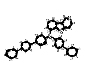 c1ccc(-c2ccc(-c3ccc(N(c4ccc(-c5ccccc5)cc4)c4cccc5c4sc4ccncc45)cc3)cc2)cc1